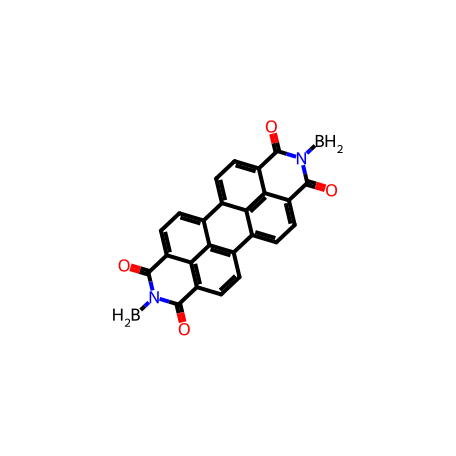 BN1C(=O)c2ccc3c4ccc5c6c(ccc(c7ccc(c2c37)C1=O)c64)C(=O)N(B)C5=O